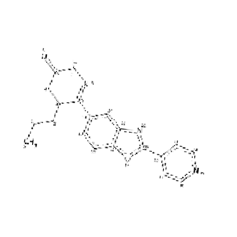 CCCC1CC(=O)NN=C1c1ccc2oc(-c3ccncc3)nc2c1